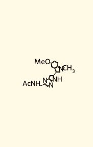 COc1ccc2c(c1)c(-c1cc3nc(CNC(C)=O)cnc3[nH]1)cn2C